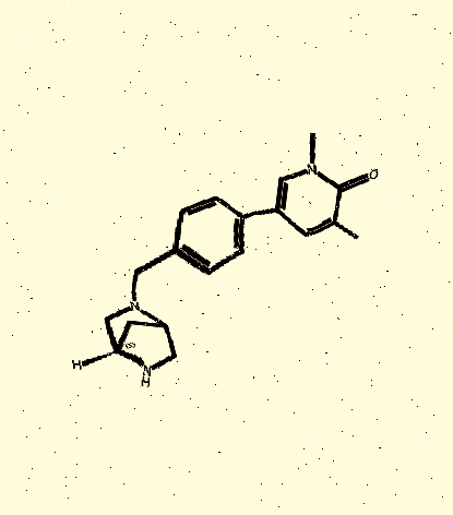 Cc1cc(-c2ccc(CN3C[C@@H]4CC3CN4)cc2)cn(C)c1=O